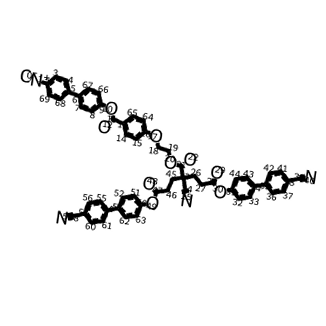 [C-]#[N+]c1ccc(-c2ccc(OC(=O)c3ccc(OCCOC(=O)C(C#N)(CCC(=O)Oc4ccc(-c5ccc(C#N)cc5)cc4)CCC(=O)Oc4ccc(-c5ccc(C#N)cc5)cc4)cc3)cc2)cc1